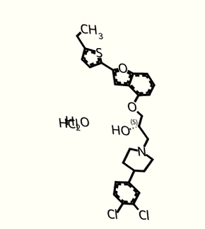 CCc1ccc(-c2cc3c(OC[C@@H](O)CN4CCC(c5ccc(Cl)c(Cl)c5)CC4)cccc3o2)s1.Cl.O